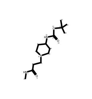 CNC(=O)CCN1CCC(NC(=O)OC(C)(C)C)CC1